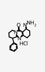 Cl.NN=C1CCCc2nc3n(c(=O)c21)CCCC3c1ccccc1